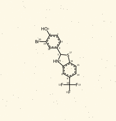 Oc1ccc(C2Nc3cc(C(F)(F)F)ccc3S2)cc1Br